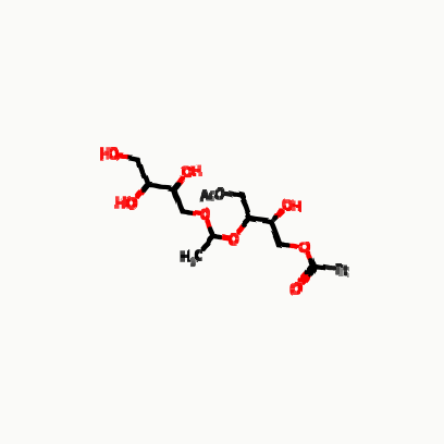 CCC(=O)OC[C@H](O)C(COC(C)=O)OC(C)OCC(O)C(O)CO